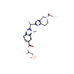 CNC(=O)N1CCc2[nH]c(C(C)c3nc4ccc(C(=O)NC(CP(=O)(O)O)C(=O)O)cc4n3C)nc2C1